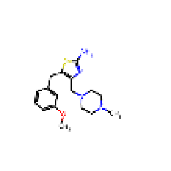 COc1cccc(Cc2sc(N)nc2CN2CCN(C)CC2)c1